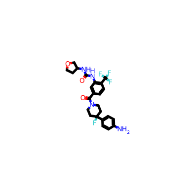 Nc1ccc(C2(F)CCN(C(=O)c3ccc(C(F)(F)F)c(NC(=O)NC4CCOC4)c3)CC2)cc1